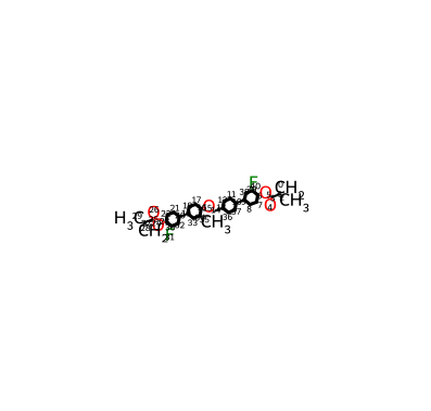 C=C(C)C(=O)Oc1ccc(-c2ccc(COc3ccc(-c4ccc(OC(=O)C(=C)C)c(F)c4)cc3C)cc2)cc1F